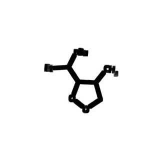 CCCCC(CC)C1OOCC1C